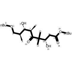 CCCCOC[C@H](C)[C@H](O)[C@@H](C)C(=O)C(C)(C)[C@@H](O)CC(=O)OC(C)(C)C